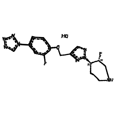 Cl.Fc1cc(-n2cnnn2)ccc1OCc1cnn([C@@H]2CCNC[C@H]2F)n1